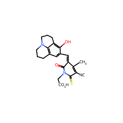 [C-]#[N+]C1=C(C)/C(=C/c2cc3c4c(c2O)CCCN4CCC3)C(=O)N(CC(=O)O)C1=S